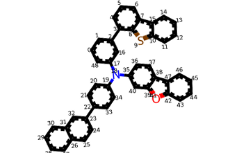 c1cc(-c2cccc3c2sc2ccccc23)cc(N(c2ccc(-c3ccc4ccccc4c3)cc2)c2ccc3c(c2)oc2ccccc23)c1